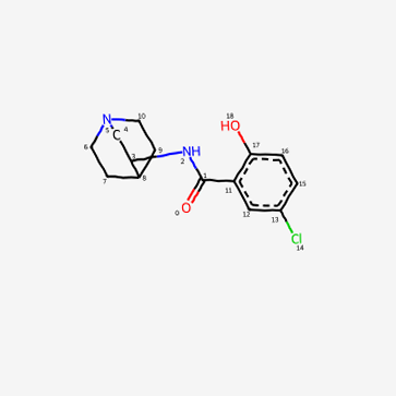 O=C(NC1CN2CCC1CC2)c1cc(Cl)ccc1O